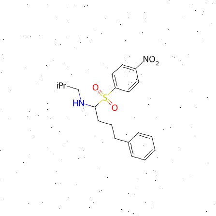 CC(C)CNC(CCCc1ccccc1)S(=O)(=O)c1ccc([N+](=O)[O-])cc1